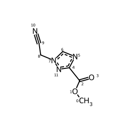 COC(=O)c1ncn(CC#N)n1